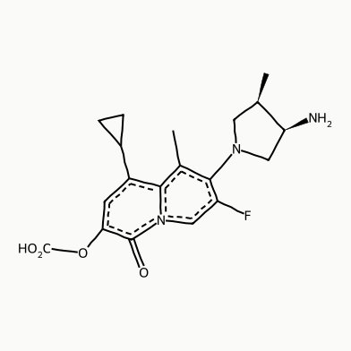 Cc1c(N2C[C@@H](C)[C@@H](N)C2)c(F)cn2c(=O)c(OC(=O)O)cc(C3CC3)c12